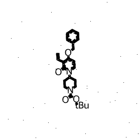 C=Cc1c(OCc2ccccc2)ccn(C2CCN(C(=O)OC(C)(C)C)CC2)c1=O